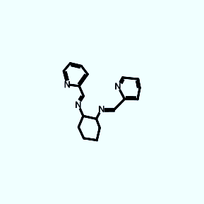 C(=N\C1CCCCC1/N=C/c1ccccn1)/c1ccccn1